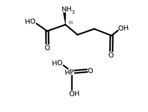 N[C@@H](CCC(=O)O)C(=O)O.O=[PH](O)O